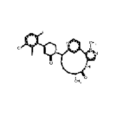 C[C@@H]1CCCC(N2CCC(c3c(F)ccc(Cl)c3F)=CC2=O)c2cc(ccn2)-c2c(cnn2C)NC1=O